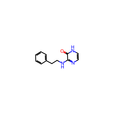 O=c1[nH]ccnc1NCCc1ccccc1